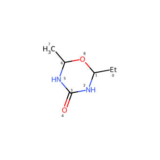 CCC1NC(=O)NC(C)O1